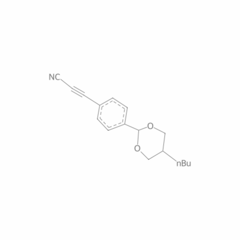 CCCCC1COC(c2ccc(C#CC#N)cc2)OC1